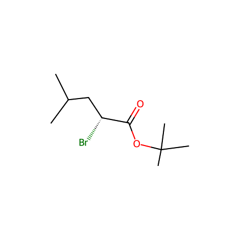 CC(C)C[C@@H](Br)C(=O)OC(C)(C)C